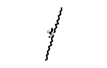 C=CC(=O)OC.CCCCCCCCCCCCOCCCCCCCCCCCC